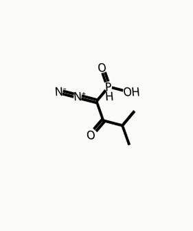 CC(C)C(=O)C(=[N+]=[N-])[PH](=O)O